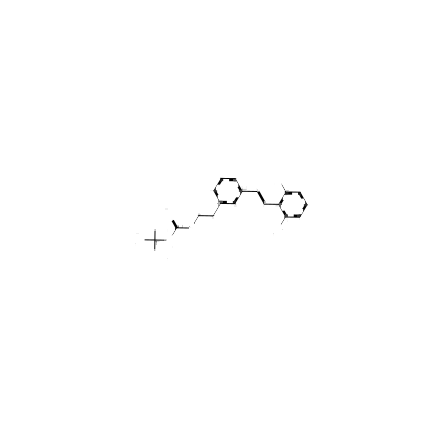 Cc1cccc(C)c1C=Cc1cccc(CCNC(=O)OC(C)(C)C)c1